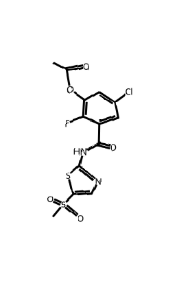 CC(=O)Oc1cc(Cl)cc(C(=O)Nc2ncc(S(C)(=O)=O)s2)c1F